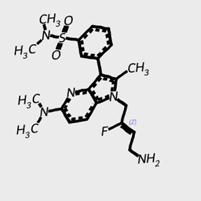 Cc1c(-c2cccc(S(=O)(=O)N(C)C)c2)c2nc(N(C)C)ccc2n1C/C(F)=C/CN